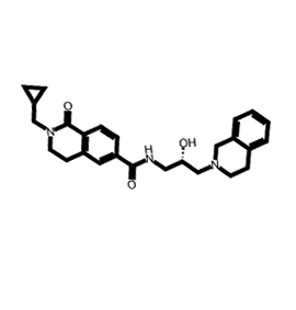 O=C(NC[C@H](O)CN1CCc2ccccc2C1)c1ccc2c(c1)CCN(CC1CC1)C2=O